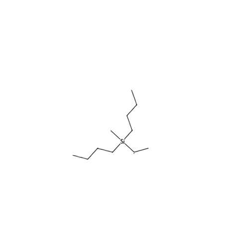 C[CH][Si](C)(CCCC)CCCC